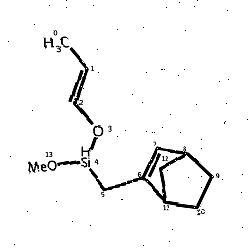 CC=CO[SiH](CC1=CC2CCC1C2)OC